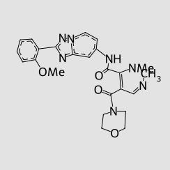 C/N=C\C(C(=O)N1CCOCC1)=C(/NC)C(=O)Nc1ccn2nc(-c3ccccc3OC)nc2c1